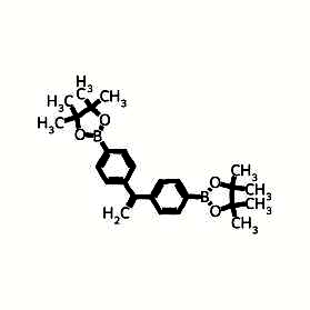 C=C(c1ccc(B2OC(C)(C)C(C)(C)O2)cc1)c1ccc(B2OC(C)(C)C(C)(C)O2)cc1